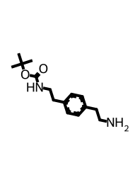 CC(C)(C)OC(=O)NCCc1ccc(CCN)cc1